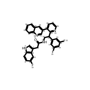 O=C(Cc1c[nH]c2ccc(F)cc12)NCC(c1cc(F)cc(F)c1)c1ncccc1-c1cnc2ccccc2c1